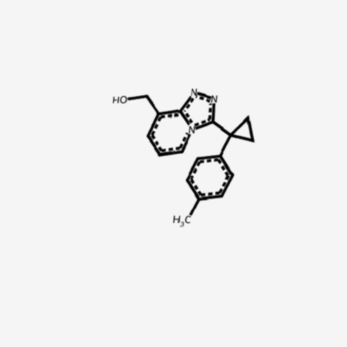 Cc1ccc(C2(c3nnc4c(CO)cccn34)CC2)cc1